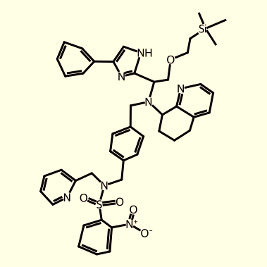 C[Si](C)(C)CCOCC(c1nc(-c2ccccc2)c[nH]1)N(Cc1ccc(CN(Cc2ccccn2)S(=O)(=O)c2ccccc2[N+](=O)[O-])cc1)C1CCCc2cccnc21